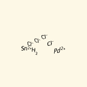 [Cl-].[Cl-].[Cl-].[Cl-].[Pd+2].[SnH2+2]